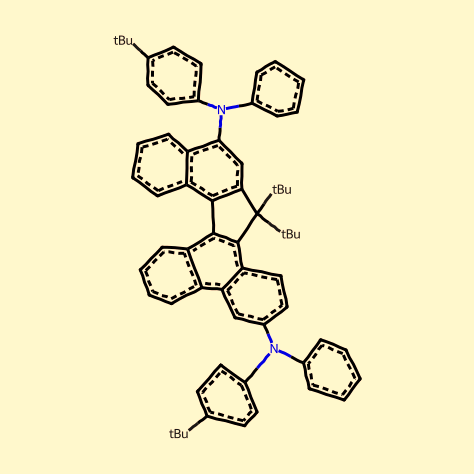 CC(C)(C)c1ccc(N(c2ccccc2)c2ccc3c4c(c5ccccc5c3c2)-c2c(cc(N(c3ccccc3)c3ccc(C(C)(C)C)cc3)c3ccccc23)C4(C(C)(C)C)C(C)(C)C)cc1